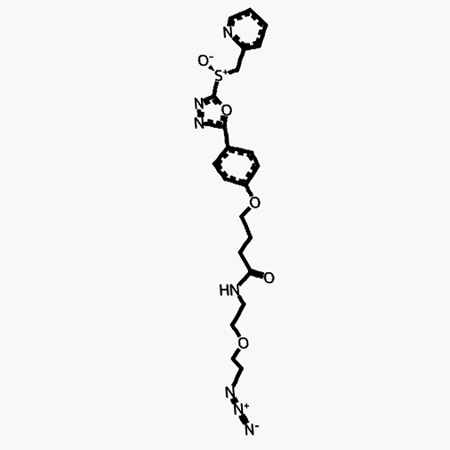 [N-]=[N+]=NCCOCCNC(=O)CCCOc1ccc(-c2nnc([S@@+]([O-])Cc3ccccn3)o2)cc1